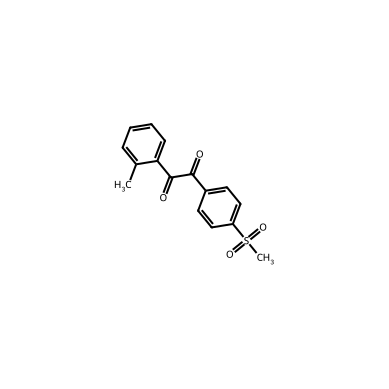 Cc1ccccc1C(=O)C(=O)c1ccc(S(C)(=O)=O)cc1